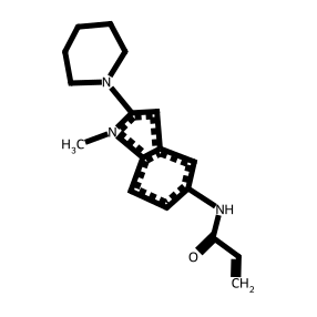 C=CC(=O)Nc1ccc2c(c1)cc(N1CCCCC1)n2C